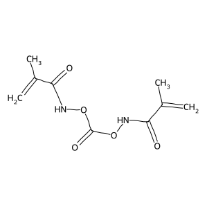 C=C(C)C(=O)NOC(=O)ONC(=O)C(=C)C